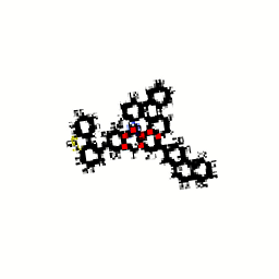 c1ccc(-c2ccccc2-c2c(-c3ccccc3)cccc2N(c2ccc(-c3ccc4c(ccc5ccccc54)c3)cc2)c2ccc(-c3cccc4sc5ccccc5c34)cc2)cc1